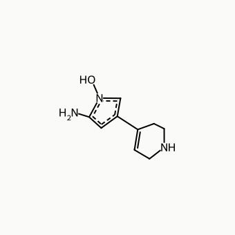 Nc1cc(C2=CCNCC2)cn1O